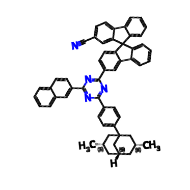 C[C@@H]1C[C@@H]2C[C@H](C)CC(c3ccc(-c4nc(-c5ccc6c(c5)-c5ccccc5C65c6ccccc6-c6ccc(C#N)cc65)nc(-c5ccc6ccccc6c5)n4)cc3)(C1)C2